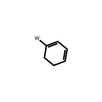 [W][C]1=CC=CCC1